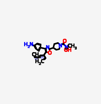 C=C/C(=C\C=C/C)c1oc(C2CCN(C(=O)N(C)O)CC2)nc1-c1ccc(N)cc1